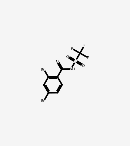 O=C(NS(=O)(=O)C(F)(F)F)c1ccc(Br)cc1Br